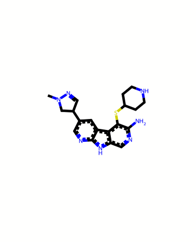 CN1CC(c2cnc3[nH]c4cnc(N)c(SC5CCNCC5)c4c3c2)C=N1